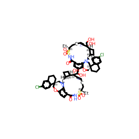 CC[C@@H]1CC/C=C/[C@](O)(C(O)c2cc3cc4c2OC[C@]2(CCCc5cc(Cl)ccc52)CN4C[C@@H]2CC[C@H]2[C@](O)(CO)/C=C/CC[C@@H](CC)S(=O)(=O)NC3=O)[C@@H]2CC[C@H]2CN2C[C@@]3(CCCc4cc(Cl)ccc43)COc3ccc(cc32)C(=O)NS1(=O)=O